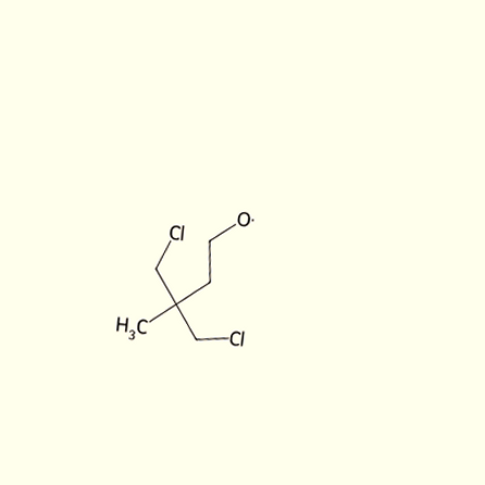 CC(CCl)(CCl)CC[O]